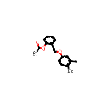 CCC(=O)Oc1ccccc1COc1ccc(CC)c(C)c1